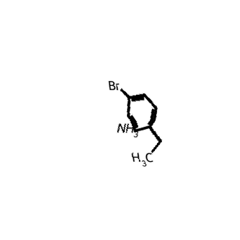 CCc1ccc(Br)cc1.N